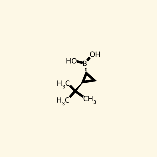 CC(C)(C)[C@@H]1C[C@H]1B(O)O